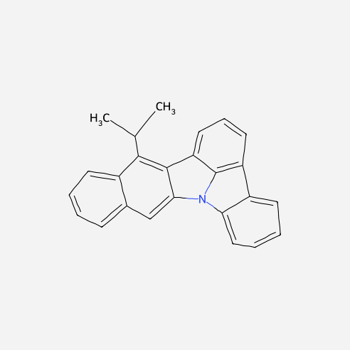 CC(C)c1c2ccccc2cc2c1c1cccc3c4ccccc4n2c31